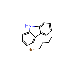 CCCCBr.c1ccc2c(c1)[nH]c1ccccc12